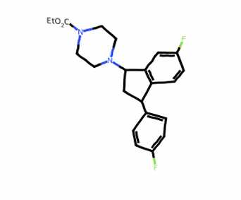 CCOC(=O)N1CCN(C2CC(c3ccc(F)cc3)c3ccc(F)cc32)CC1